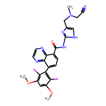 COc1cc(OC)c(I)c(-c2ccc(C(=O)Nc3nc(CN(C)CC#N)c[nH]3)c3nccnc23)c1I